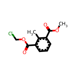 COC(=O)c1cccc(C(=O)OCCl)c1C